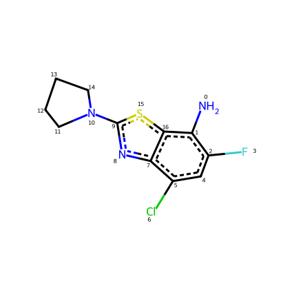 Nc1c(F)cc(Cl)c2nc(N3CCCC3)sc12